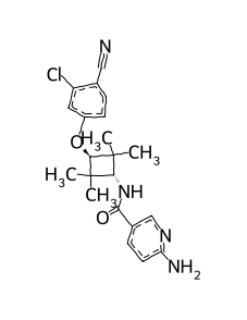 CC1(C)[C@H](NC(=O)c2ccc(N)nc2)C(C)(C)[C@H]1Oc1ccc(C#N)c(Cl)c1